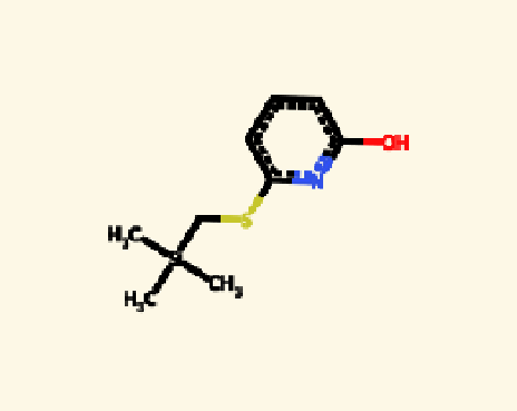 C[Si](C)(C)CSc1cccc(O)n1